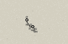 COc1ccc(CCNC2Nc3cc(C(=O)NO)ccc3O2)cc1